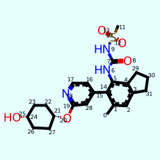 Cc1cc2c(c(NC(=O)NS(C)(=O)=O)c1-c1ccnc(O[C@H]3CC[C@@H](O)CC3)c1)CCC2